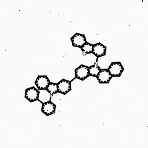 c1ccc(-c2ccccc2-n2c3ccccc3c3cc(-c4ccc5c(c4)c4ccc6ccccc6c4n5-c4cccc5c4oc4ccccc45)ccc32)cc1